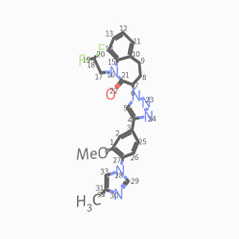 COc1cc(-c2cn(C3CCc4ccccc4N(CC(F)F)C3=O)nn2)ccc1-n1cnc(C)c1